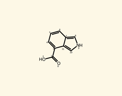 O=C(O)c1cccc2c[nH]cc12